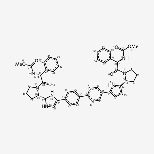 COC(=O)N[C@@H](C(=O)N1CCC[C@H]1c1ncc(-c2cnc(-c3ccc(C4=CNC([C@@H]5CCCN5C(=O)[C@H](NC(=O)OC)c5ccccc5)N4)cc3)nc2)[nH]1)c1ccccc1